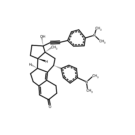 CN(C)c1ccc(C#C[C@]2(O)CC[C@H]3[C@@H]4CCC5=CC(=O)CCC5=C4[C@@H](c4ccc(N(C)C)cc4)C[C@@]32C)cc1